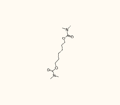 CN(C)C(=O)OCCCCCCOC(=O)N(C)C